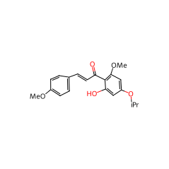 COc1ccc(C=CC(=O)c2c(O)cc(OC(C)C)cc2OC)cc1